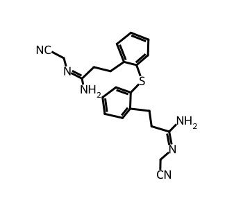 N#CC/N=C(/N)CCc1ccccc1Sc1ccccc1CC/C(N)=N\CC#N